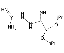 CCCON(OC(C)C)C(=N)NNC(=N)N